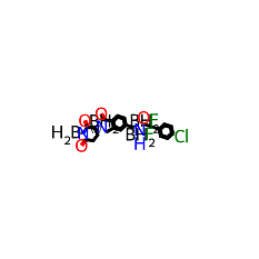 BN1C(=O)CC[C@](B)(N2Cc3cc(C(B)(B)NC(=O)C(F)(F)c4ccc(Cl)cc4)ccc3C2=O)C1=O